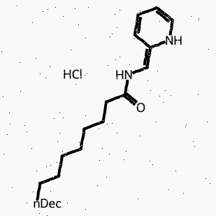 CCCCCCCCCCCCCCCCCC(=O)NC=C1C=CC=CN1.Cl